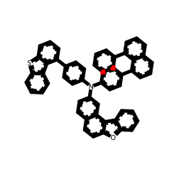 c1ccc(-c2cccc3cccc(-c4ccc(N(c5ccc(-c6cccc7sc8ccccc8c67)cc5)c5ccc6ccc7oc8ccccc8c7c6c5)cc4)c23)cc1